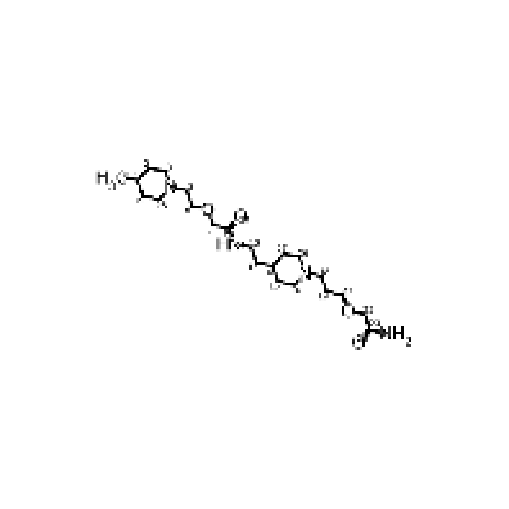 CC1CCN(CCOCC(=O)NCCC2CCN(CCCOCC(N)=O)CC2)CC1